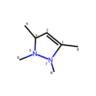 CC1=CC(C)N(C)N1C